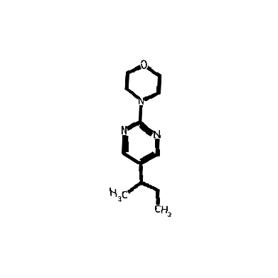 CCC(C)c1cnc(N2CCOCC2)nc1